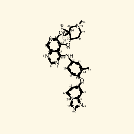 COc1ncc2ncnc(Nc3ccc(Oc4ccn5cnnc5c4)c(C)c3)c2c1O[C@H]1CCN(C)CC1(F)F